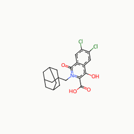 O=C(O)c1c(O)c2cc(Cl)c(Cl)cc2c(=O)n1CC12CC3CC(CC(C3)C1)C2